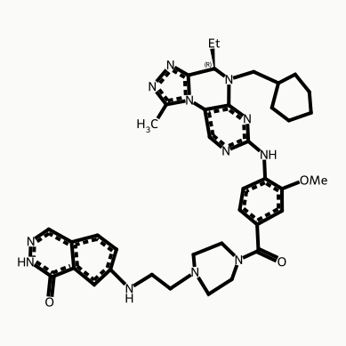 CC[C@@H]1c2nnc(C)n2-c2cnc(Nc3ccc(C(=O)N4CCN(CCNc5ccc6cn[nH]c(=O)c6c5)CC4)cc3OC)nc2N1CC1CCCCC1